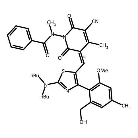 CCCCN(CCCC)c1nc(-c2c(CO)cc(C)cc2OC)c(/C=C2\C(=O)N(N(C)C(=O)c3ccccc3)C(=O)C(C#N)=C2C)s1